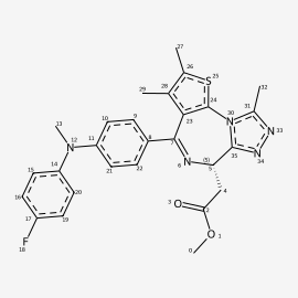 COC(=O)C[C@@H]1N=C(c2ccc(N(C)c3ccc(F)cc3)cc2)c2c(sc(C)c2C)-n2c(C)nnc21